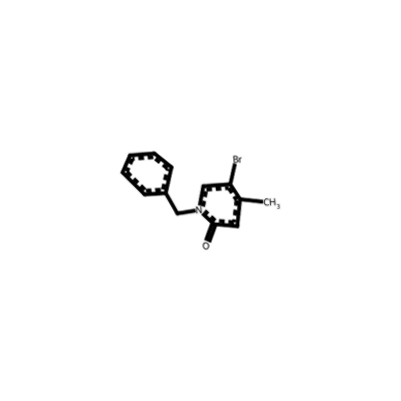 Cc1cc(=O)n(Cc2ccccc2)cc1Br